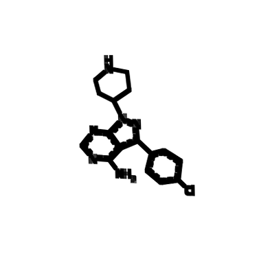 Nc1ncnc2c1c(-c1ccc(Cl)cc1)nn2C1CCNCC1